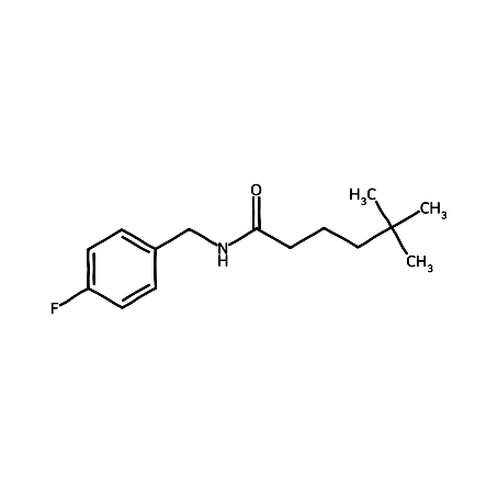 CC(C)(C)CCCC(=O)NCc1ccc(F)cc1